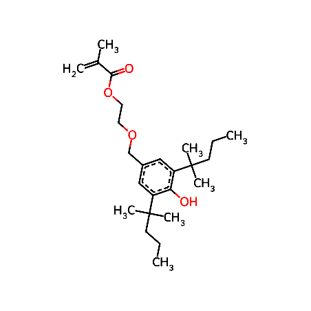 C=C(C)C(=O)OCCOCc1cc(C(C)(C)CCC)c(O)c(C(C)(C)CCC)c1